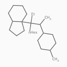 CCCCCCC(CC)(C(C)C1CCC(C)CC1)C12CCCCC1CCC2